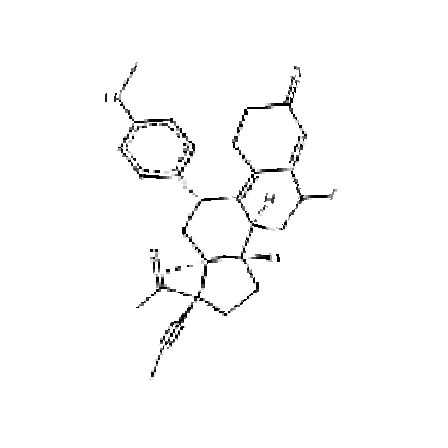 CC#C[C@]1(C(C)=O)CC[C@H]2[C@@H]3CC(F)C4=CC(=O)CCC4=C3[C@@H](c3ccc(NC)cc3)C[C@@]21C